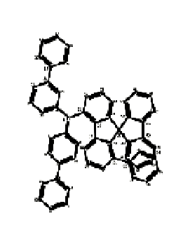 c1ccc(-c2ccc(N(c3cccc(-c4ccccc4)c3)c3cccc4c3-c3cccc(-c5ccccc5)c3C43c4ccccc4-c4ccccc43)cc2)cc1